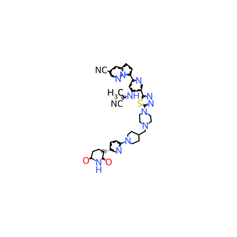 C[C@H](C#N)Nc1cc(-c2ccc3cc(C#N)cnn23)ncc1-c1nnc(N2CCN(CC3CCN(c4ccc([C@H]5CCC(=O)NC5=O)cn4)CC3)CC2)s1